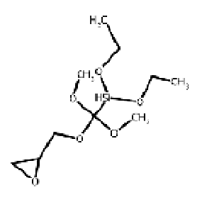 CCO[SiH](OCC)C(OC)(OC)OCC1CO1